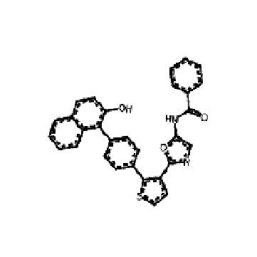 O=C(Nc1cnc(-c2ccsc2-c2ccc(-c3c(O)ccc4ccccc34)cc2)o1)c1ccccc1